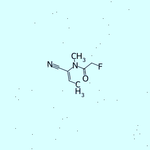 C/C=C(/C#N)N(C)C(=O)CF